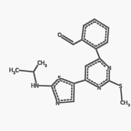 CSc1nc(-c2cnc(NC(C)C)s2)cc(-c2ccccc2C=O)n1